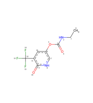 CCNC(=O)Oc1c[nH]c(=O)c(C(F)(F)F)c1